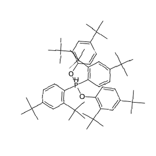 CC(C)(C)c1ccc(O[PH](Oc2ccc(C(C)(C)C)cc2C(C)(C)C)(c2ccc(C(C)(C)C)cc2C(C)(C)C)c2ccc(C(C)(C)C)cc2C(C)(C)C)c(C(C)(C)C)c1